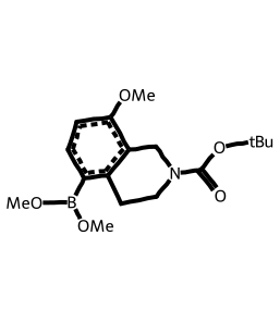 COB(OC)c1ccc(OC)c2c1CCN(C(=O)OC(C)(C)C)C2